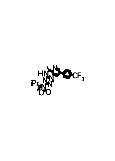 CC(C)[C@H]1COC(=O)N1c1ncnc(N[C@@H](C)c2ccc(-c3ccc(C(F)(F)F)cc3)cn2)n1